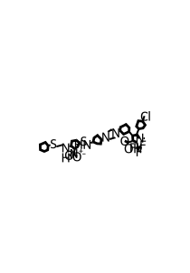 Cn1c(-c2ccc(Cl)cc2)c(-c2cccc(N3CCN(c4ccc(NSc5ccc(NCCSc6ccccc6)c([N+](=O)[O-])c5)cc4)CC3)c2)c(C(=O)O)c1C(F)(F)F